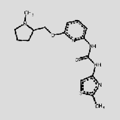 Cc1nc(NC(=O)Nc2cccc(OCC3CCCN3C)n2)cs1